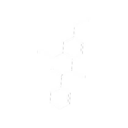 COc1ccc(C(O)C(=O)c2ccccc2)c(OC)c1